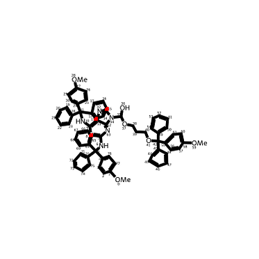 COc1ccc(C(Nc2nc(NC(c3ccccc3)(c3ccccc3)c3ccc(OC)cc3)c3ncn(C(O)OCCCOC(c4ccccc4)(c4ccccc4)c4ccc(OC)cc4)c3n2)(c2ccccc2)c2ccccc2)cc1